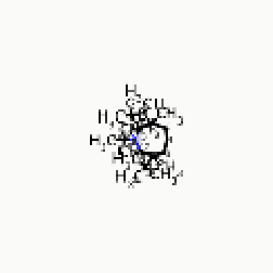 CB(C(C)(C)C)C1(C)CCCC(C)(C(C)(C)C)CN(C(C)(C)C)C1